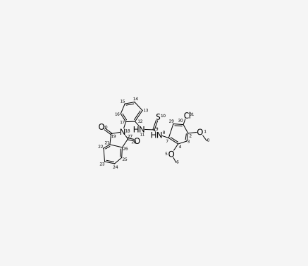 COc1cc(OC)c(NC(=S)Nc2ccccc2N2C(=O)c3ccccc3C2=O)cc1Cl